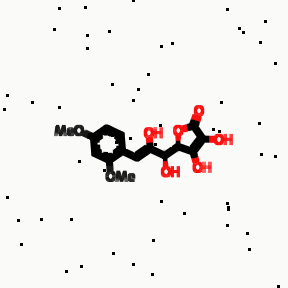 COc1ccc(C=C(O)[C@H](O)[C@H]2OC(=O)C(O)=C2O)c(OC)c1